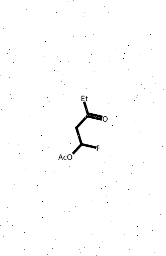 CCC(=O)CC(F)OC(C)=O